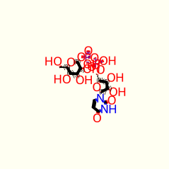 O=c1ccn([C@@H]2O[C@H](COP(=O)(O)OP(=O)(O)O[C@H]3O[C@H](CO)[C@H](O)[C@H](O)[C@@H]3O)[C@@H](O)[C@H]2O)c(=O)[nH]1